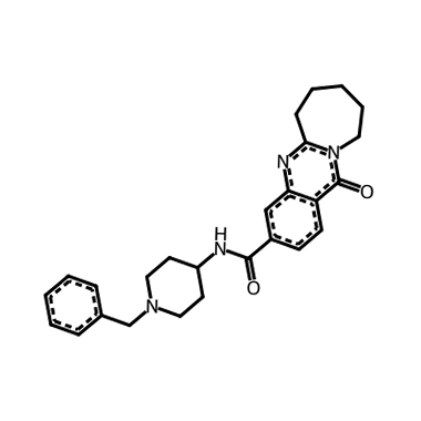 O=C(NC1CCN(Cc2ccccc2)CC1)c1ccc2c(=O)n3c(nc2c1)CCCCC3